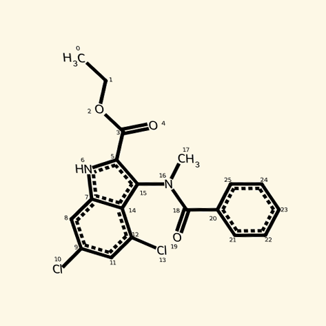 CCOC(=O)c1[nH]c2cc(Cl)cc(Cl)c2c1N(C)C(=O)c1ccccc1